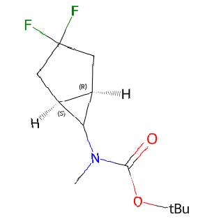 CN(C(=O)OC(C)(C)C)C1[C@H]2CC(F)(F)C[C@@H]12